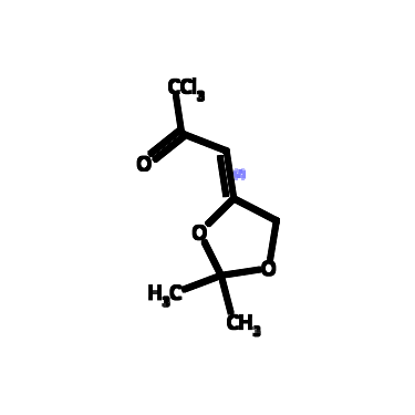 CC1(C)OC/C(=C/C(=O)C(Cl)(Cl)Cl)O1